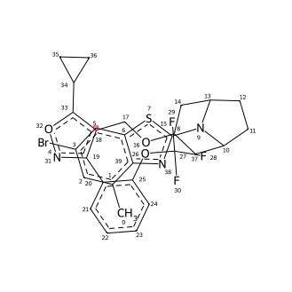 Cc1cc(Br)cc2sc(N3C4CCC3CC(OCc3c(-c5ccccc5OC(F)(F)F)noc3C3CC3)C4)nc12